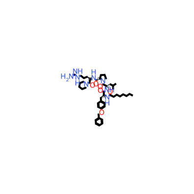 CCCCCCCC(=O)N[C@@H](Cc1ccc(OCc2ccccc2)cc1)C(=O)N[C@@H](CC(C)C)C(=O)N1CCC[C@H]1C(=O)N[C@H](CCCNC(=N)N)C(=O)N1CCCCC1